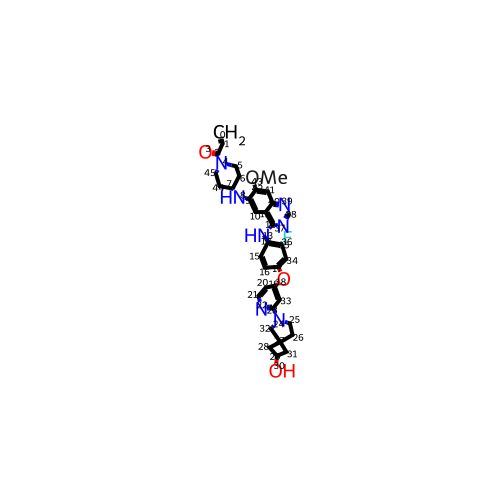 C=CC(=O)N1CCC(Nc2cc3c(Nc4ccc(Oc5ccnc(N6CCC7(CC(O)C7)C6)c5)cc4F)ncnc3cc2OC)CC1